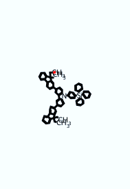 CCC1(CC)c2ccccc2-c2ccc(-c3ccc4c(c3)c3cc(-c5ccc6c(c5)C(CC)(CC)c5ccccc5-6)ccc3n4-c3ccc([Si](c4ccccc4)(c4ccccc4)c4ccccc4)cc3)cc21